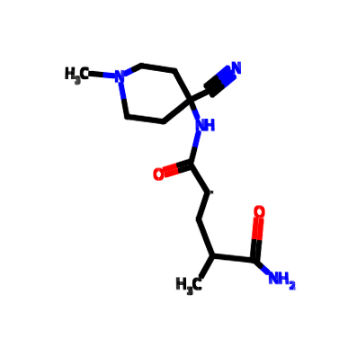 CC(C[CH]C(=O)NC1(C#N)CCN(C)CC1)C(N)=O